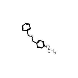 COc1ccc(CSCc2ccccc2)cc1